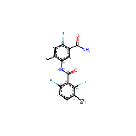 Cc1cc(F)c(C(N)=O)cc1NC(=O)c1c(F)ccc(C(F)(F)F)c1F